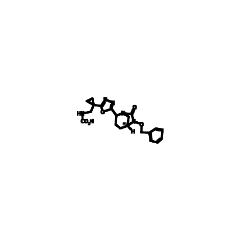 O=C(O)NCC1(c2nnc(C3CC[C@@H]4CN3C(=O)N4OCc3ccccc3)o2)CC1